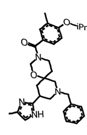 Cc1c[nH]c(C2CN(Cc3ccccc3)CC3(CCN(C(=O)c4ccc(OC(C)C)c(C)c4)CO3)C2)n1